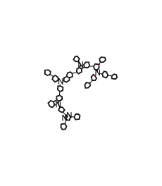 c1ccc(-c2ccc(N(c3ccc(-c4ccccc4)cc3)c3cc(-c4ccccc4)cc(-c4ccc5c(c4)c4ccc(-c6ccc7cc(N(c8ccc(-c9ccccc9)cc8)c8ccc(-c9ccc%10c(c9)c9ccccc9n%10-c9ccc(-c%10nc(-c%11ccccc%11)cc(-c%11ccccc%11)n%10)cc9)cc8)ccc7c6)cc4n5-c4ccccc4)c3)cc2)cc1